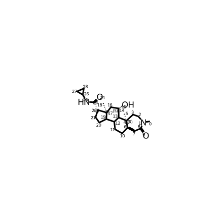 CN1CC[C@@]2(C)C(=CC1=O)CCC1C2[C@@H](O)C[C@@]2(C)C1CC[C@@H]2C(=O)NC1CC1